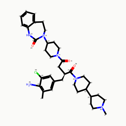 Cc1cc(C[C@@H](CC(=O)N2CCC(N3CCc4ccccc4NC3=O)CC2)C(=O)N2CCC(C3CCN(C)CC3)CC2)cc(Cl)c1N